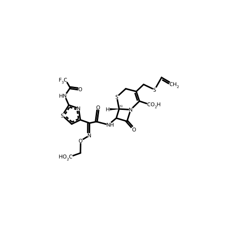 C=CSCC1=C(C(=O)O)N2C(=O)C(NC(=O)C(=NOCC(=O)O)c3csc(NC(=O)C(F)(F)F)n3)[C@@H]2SC1